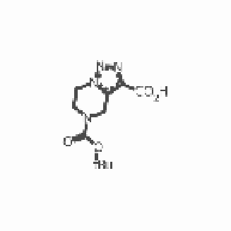 CC(C)(C)OC(=O)N1CCn2nnc(C(=O)O)c2C1